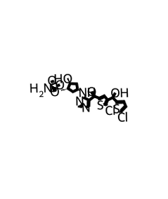 NS(=O)(=O)OC[C@H]1C[C@@H](Nc2ncncc2C(=O)c2cc(C(O)c3ccc(Cl)s3)c(Cl)s2)C[C@@H]1O